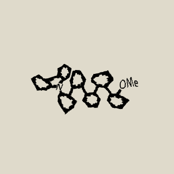 COc1ccccc1-c1ccccc1-c1ccccc1-c1ccccc1-c1ccccc1-n1c2ccccc2c2ccccc21